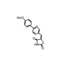 COc1ccc(-c2ccc(C=C3SC(=O)NC3=O)cn2)cc1